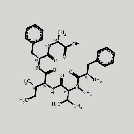 CC[C@H](C)[C@H](NC(=O)[C@H](C(C)C)N(C)C(=O)[C@H](N)Cc1ccccc1)C(=O)N[C@@H](Cc1ccccc1)C(=O)N[C@@H](C)C(=O)O